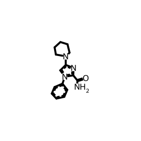 NC(=O)c1nc(N2CCCCC2)cn1-c1ccccc1